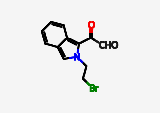 O=CC(=O)c1c2ccccc2cn1CCBr